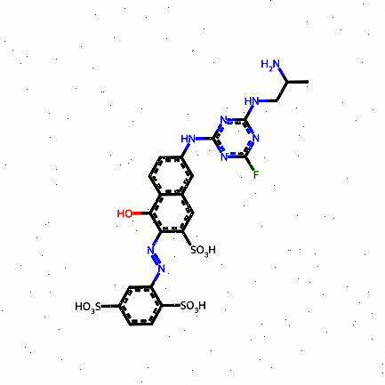 CC(N)CNc1nc(F)nc(Nc2ccc3c(O)c(N=Nc4cc(S(=O)(=O)O)ccc4S(=O)(=O)O)c(S(=O)(=O)O)cc3c2)n1